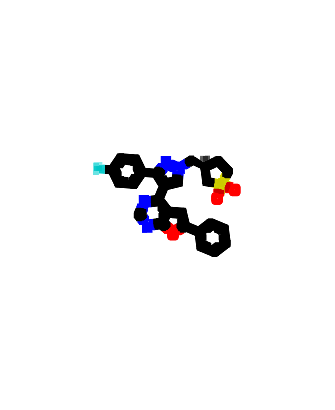 O=S1(=O)CC[C@H](Cn2cc(-c3ncnc4oc(-c5ccccc5)cc34)c(-c3ccc(F)cc3)n2)C1